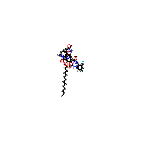 CCCCCCCCCCCCCC(=O)Oc1c2n(cc(C(=O)NCc3ccc(F)cc3F)c1=O)[C@@H]1CN(C2=O)[C@@H](C)CC[C@]12CC(OC)=NO2